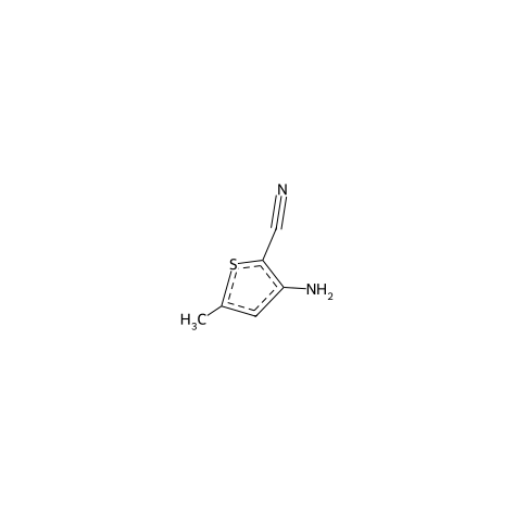 Cc1cc(N)c(C#N)s1